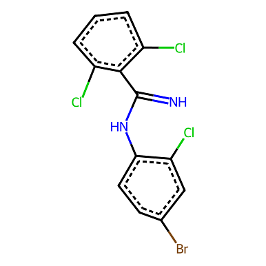 N=C(Nc1ccc(Br)cc1Cl)c1c(Cl)cccc1Cl